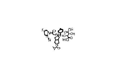 CN(C)C(=O)N1CC2CC(Cc3ccccc3)(NCC(=O)N3C[C@@H](F)C[C@H]3C#N)CC2C1.O=C(O)C(O)C(O)C(=O)O